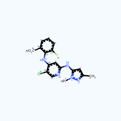 CCCn1nc(C)cc1Nc1cc(Nc2c(F)cccc2C(=O)O)c(Cl)cn1